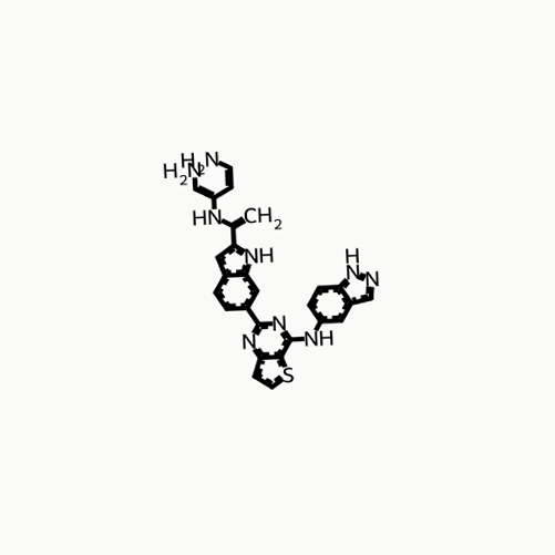 C=C(NC(/C=C\N)=C/N)c1cc2ccc(-c3nc(Nc4ccc5[nH]ncc5c4)c4sccc4n3)cc2[nH]1